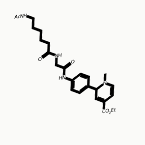 CCOC(=O)C1=CC(c2ccc(NC(=O)CNC(=O)CCCCCNC(C)=O)cc2)N(C)C=C1